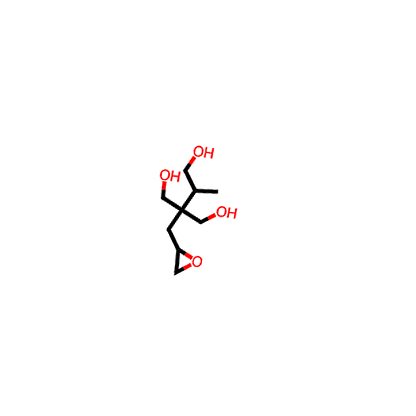 CC(CO)C(CO)(CO)CC1CO1